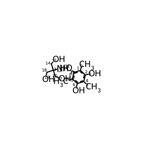 Cc1c(O)c(C)c(O)c(C)c1O.NC(CO)(CO)CO